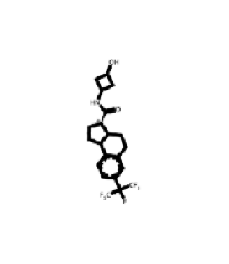 O=C(NC1CC(O)C1)[C@@H]1CCC2c3ccc(C(F)(C(F)(F)F)C(F)(F)F)cc3CCC21